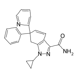 NC(=O)c1nn(C2CC2)c2c1C=CC(c1ccccc1)(c1ccccn1)C2